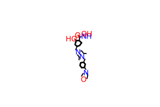 CC1CN(Cc2ccc(C(=O)NO)c(O)c2)CC(C)N1Cc1cccc(CN2CCOCC2)c1